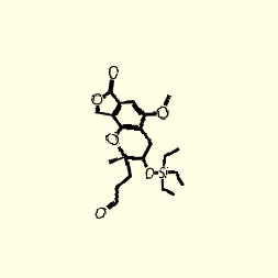 CC[Si](CC)(CC)OC1Cc2c(OC)cc3c(c2O[C@@]1(C)CCC=O)COC3=O